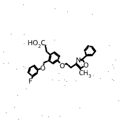 Cc1oc(-c2ccccc2)nc1CCOc1ccc(CCC(=O)O)c(COc2cccc(F)c2)c1